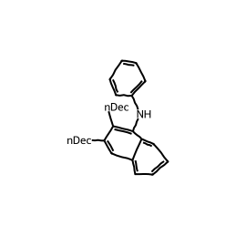 CCCCCCCCCCc1cc2ccccc2c(Nc2ccccc2)c1CCCCCCCCCC